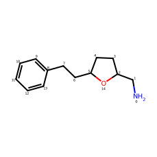 NCC1CCC(CCc2ccccc2)O1